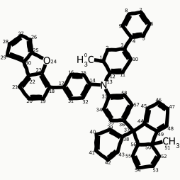 CC1CC(c2ccccc2)=CC=C1N(c1ccc(-c2cccc3c2oc2ccccc23)cc1)c1ccc(C2(c3ccccc3)c3ccccc3C3(C)C=CC=CC32)cc1